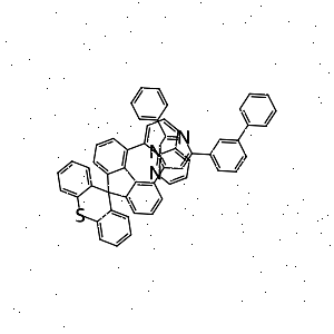 c1ccc(-c2cccc(-c3cc(-c4cccc5c4-c4c(-c6cccc7cccnc67)cccc4C54c5ccccc5Sc5ccccc54)nc(-c4ccccc4)n3)c2)cc1